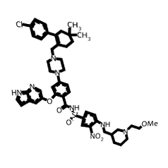 COCCN1CCCC(CNc2ccc([S+]([O-])NC(=O)c3ccc(N4CCN(CC5=C(c6ccc(Cl)cc6)CC(C)(C)CC5)CC4)cc3Oc3cnc4[nH]ccc4c3)cc2[N+](=O)[O-])C1